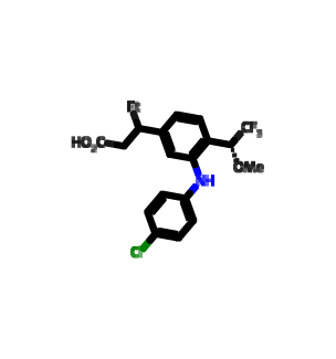 CCC(CC(=O)O)c1ccc([C@@H](OC)C(F)(F)F)c(Nc2ccc(Cl)cc2)c1